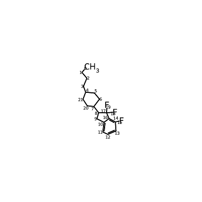 CCCCC1CCC(C2Cc3cccc(F)c3C2(F)F)CC1